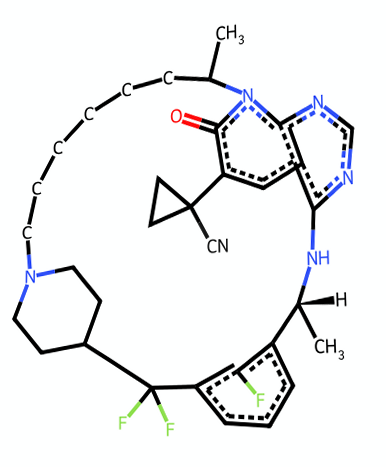 CC1CCCCCCN2CCC(CC2)C(F)(F)c2cccc(c2F)[C@@H](C)Nc2ncnc3c2cc(C2(C#N)CC2)c(=O)n31